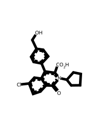 O=C(O)c1c(-c2ccc(CO)cc2)c2cc(Cl)ccc2c(=O)n1C1CCCC1